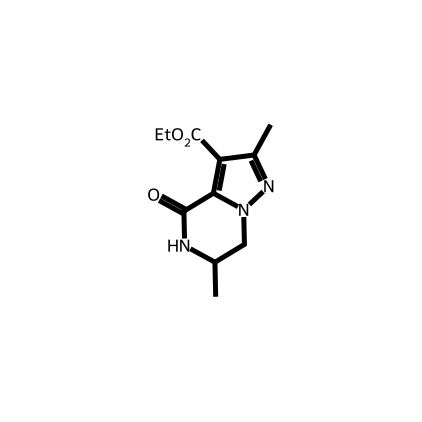 CCOC(=O)c1c(C)nn2c1C(=O)NC(C)C2